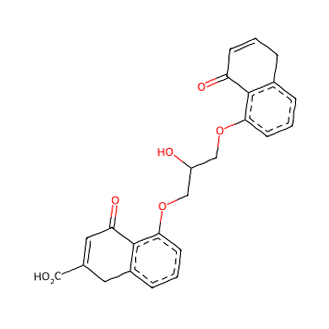 O=C(O)C1=CC(=O)c2c(cccc2OCC(O)COc2cccc3c2C(=O)C=CC3)C1